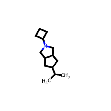 CC(C)C1CC2CN(C3CCC3)CC2C1